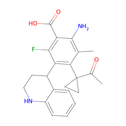 CC(=O)C1(c2c(C)c(N)c(C(=O)O)c(F)c2C2CCNc3ccccc32)CC1